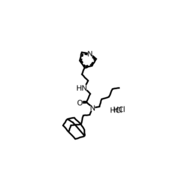 CCCCCN(CCC12CC3CC(CC(C3)C1)C2)C(=O)CNCCc1ccncc1.Cl.Cl